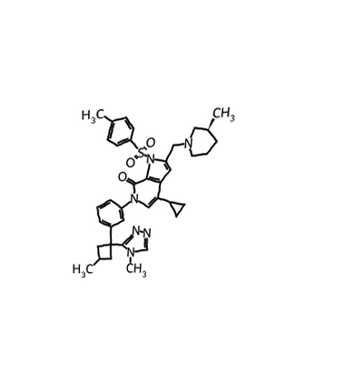 Cc1ccc(S(=O)(=O)n2c(CN3CCC[C@H](C)C3)cc3c(C4CC4)cn(-c4cccc(C5(c6nncn6C)CC(C)C5)c4)c(=O)c32)cc1